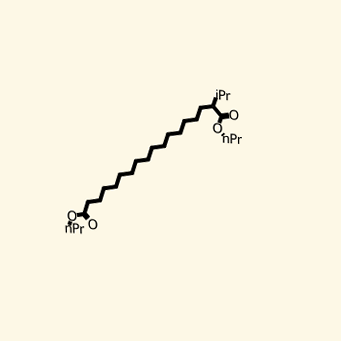 CCCOC(=O)CCCCCCCCCCCCCCCC(C(=O)OCCC)C(C)C